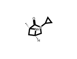 C[C@]12C[C@H](CN(C3CC3)C1=O)N2